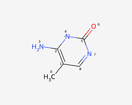 CC1=C(N)[N]C(=O)N=C1